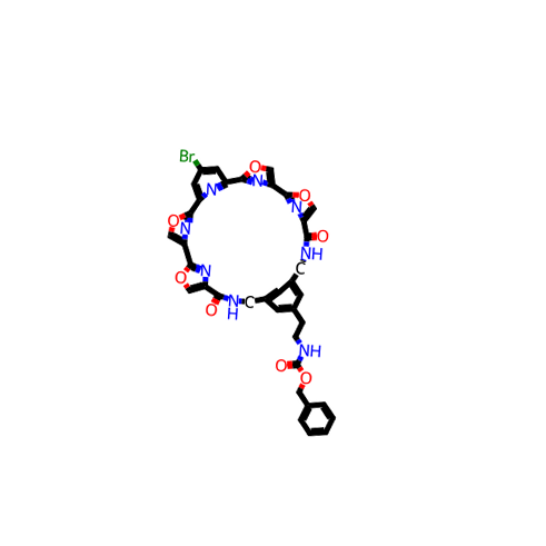 O=C(NCCc1cc2cc(c1)CNC(=O)c1coc(n1)-c1coc(n1)-c1cc(Br)cc(n1)-c1nc(co1)-c1nc(co1)C(=O)NC2)OCc1ccccc1